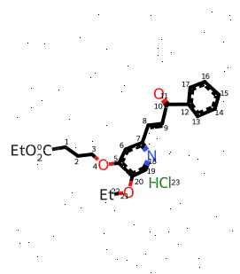 CCOC(=O)CCCOc1cc(/C=C/C(=O)c2ccccc2)ncc1OCC.Cl